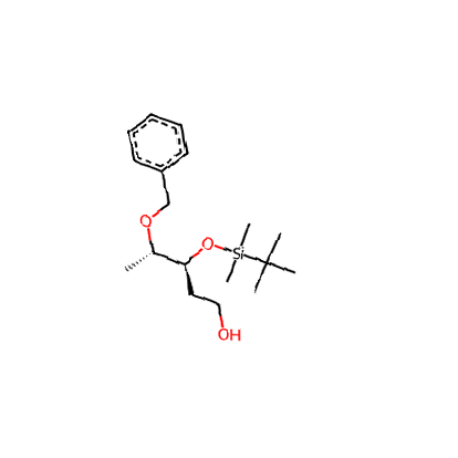 C[C@H](OCc1ccccc1)[C@H](CCO)O[Si](C)(C)C(C)(C)C